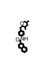 CC1[C]C(C)C(Cc2ccc(NC(=O)c3ccc4ccccc4c3)cc2)OC1